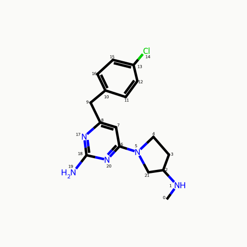 CNC1CCN(c2cc(Cc3ccc(Cl)cc3)nc(N)n2)C1